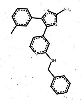 Cc1cccc(-c2nc(N)sc2-c2ccnc(NCc3ccccc3)c2)c1